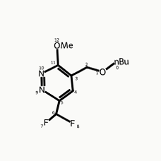 CCCCOCc1cc(C(F)F)nnc1OC